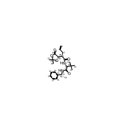 C=CC[C@@H](C(=O)N[C@H](C(=O)N[C@H](C)c1ccccc1)C(C)(C)C)[C@@H]1OC(C)(C)OC1=O